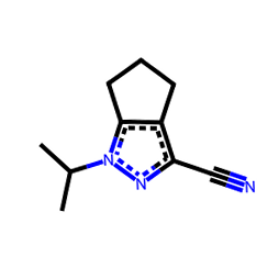 CC(C)n1nc(C#N)c2c1CCC2